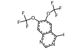 FC(F)(F)Oc1cc2ncnc(I)c2cc1OC(F)(F)F